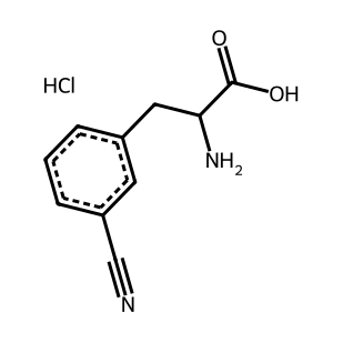 Cl.N#Cc1cccc(CC(N)C(=O)O)c1